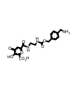 NCc1ccc(COC(=O)NCCNC(=O)c2cc(=O)c(O)c(C(=O)O)o2)cc1